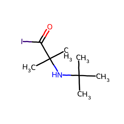 CC(C)(C)NC(C)(C)C(=O)I